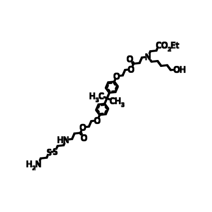 CCOC(=O)CCN(CCCCCO)CCC(=O)OCCOc1ccc(C(C)(C)c2ccc(OCCOC(=O)CCNCCSSCCN)cc2)cc1